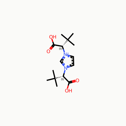 CC(C)(C)[C@@H](C(=O)O)n1cc[n+]([C@H](C(=O)O)C(C)(C)C)c1